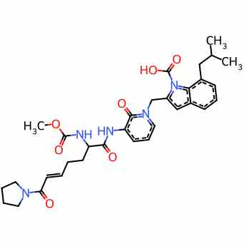 COC(=O)NC(CCC=CC(=O)N1CCCC1)C(=O)Nc1cccn(Cc2cc3cccc(CC(C)C)c3n2C(=O)O)c1=O